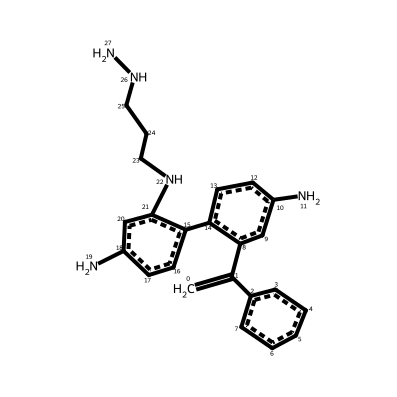 C=C(c1ccccc1)c1cc(N)ccc1-c1ccc(N)cc1NCCCNN